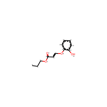 CCCOC(=O)C=COc1ccccc1O